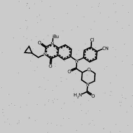 CCC(C)n1c(=O)n(CC2CC2)c(=O)c2cc(N(C(=O)C3CN(C(N)=O)CCO3)c3ccc(C#N)c(Cl)c3)ccc21